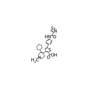 CN1CCC(c2cc(-c3ccc(NC(=O)c4cscn4)cc3)sc2C(=O)O)=C(C2CCCCC2)C1